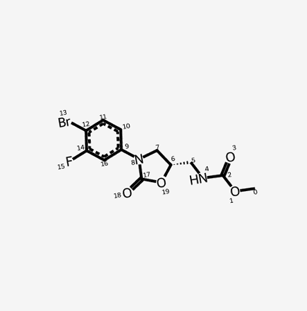 COC(=O)NC[C@H]1CN(c2ccc(Br)c(F)c2)C(=O)O1